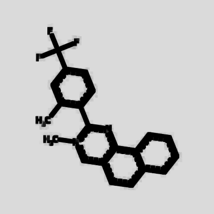 Cc1cc(C(F)(F)F)ccc1-c1nc2c(ccc3ccccc32)c[n+]1C